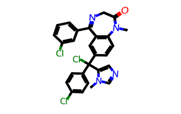 CN1C(=O)CN=C(c2cccc(Cl)c2)c2cc(C(Cl)(c3ccc(Cl)cc3)c3cncn3C)ccc21